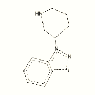 c1ccc2c(c1)cnn2C1CCCNC1